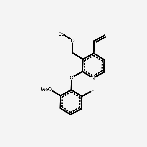 C=Cc1ccnc(Oc2c(F)cccc2OC)c1COCC